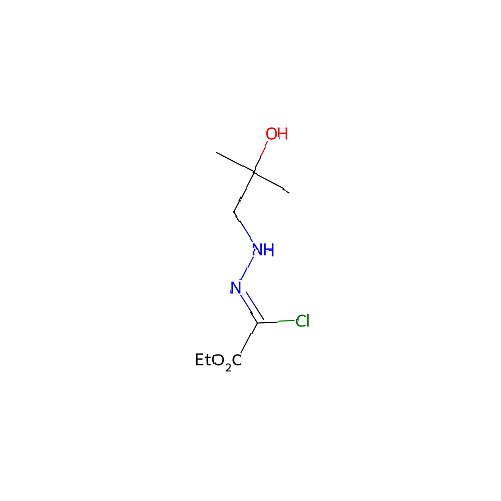 CCOC(=O)/C(Cl)=N/NCC(C)(C)O